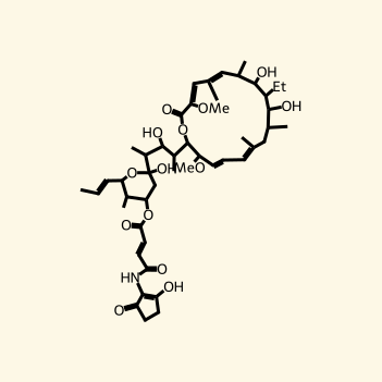 C/C=C/C1OC(O)(C(C)C(O)C(C)C2OC(=O)/C(OC)=C/C(C)=C/C(C)C(O)C(CC)C(O)C(C)C/C(C)=C/C=C/C2OC)CC(OC(=O)/C=C/C(=O)NC2=C(O)CCC2=O)C1C